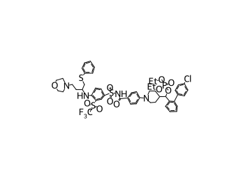 CCOP(=O)(OCC)OC(c1ccccc1-c1ccc(Cl)cc1)C1CCN(c2ccc(C(=O)NS(=O)(=O)c3ccc(NC(CCN4CCOCC4)CSc4ccccc4)c(S(=O)(=O)C(F)(F)F)c3)cc2)CC1